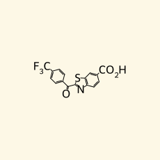 O=C(O)c1ccc2nc(C(=O)c3ccc(C(F)(F)F)cc3)sc2c1